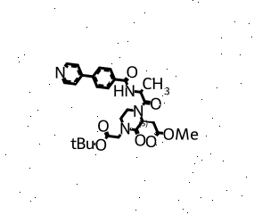 COC(=O)C[C@H]1C(=O)N(CC(=O)OC(C)(C)C)CCN1C(=O)C(C)NC(=O)c1ccc(-c2ccncc2)cc1